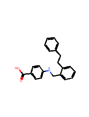 O=C(O)c1ccc(NCc2ccccc2CCc2ccccc2)cc1